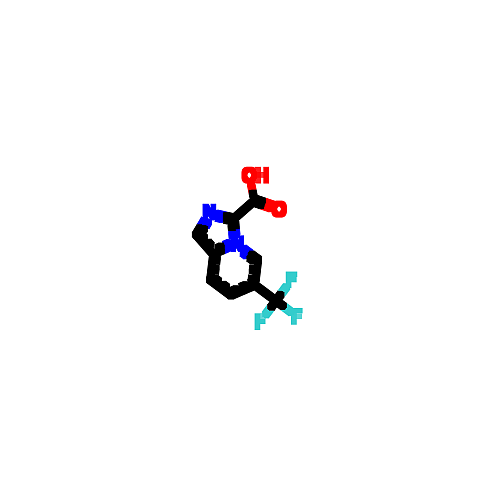 O=C(O)c1ncc2ccc(C(F)(F)F)cn12